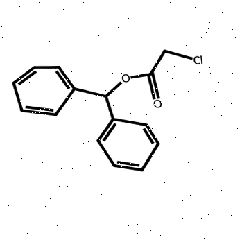 O=C(CCl)OC(c1ccccc1)c1ccccc1